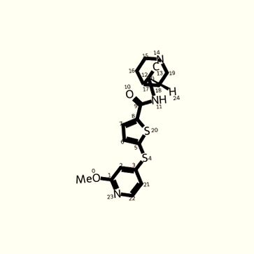 COc1cc(Sc2ccc(C(=O)N[C@H]3CN4CCC3CC4)s2)ccn1